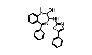 OC1Nc2ccccc2C(c2ccccc2)=NC1Nc1ncc(-c2ccccc2)o1